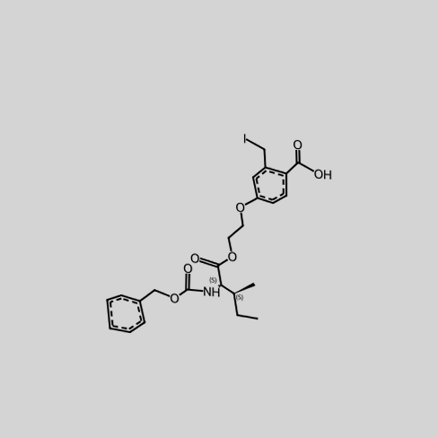 CC[C@H](C)[C@H](NC(=O)OCc1ccccc1)C(=O)OCCOc1ccc(C(=O)O)c(CI)c1